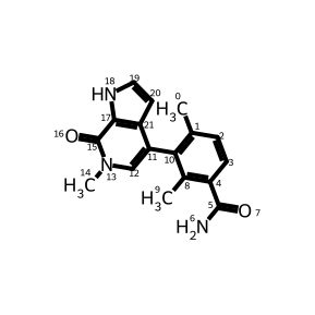 Cc1ccc(C(N)=O)c(C)c1-c1cn(C)c(=O)c2[nH]ccc12